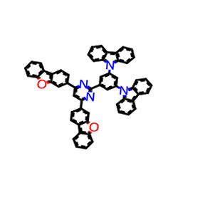 c1ccc2c(c1)oc1cc(-c3cc(-c4ccc5c(c4)oc4ccccc45)nc(-c4cc(-n5c6ccccc6c6ccccc65)cc(-n5c6ccccc6c6ccccc65)c4)n3)ccc12